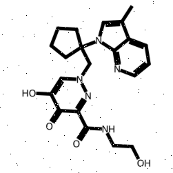 Cc1cn(C2(Cn3cc(O)c(=O)c(C(=O)NCCO)n3)CCCC2)c2ncccc12